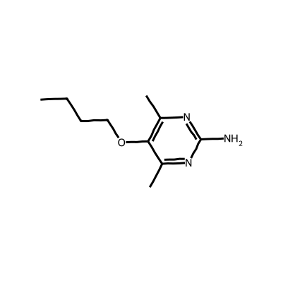 CCCCOc1c(C)nc(N)nc1C